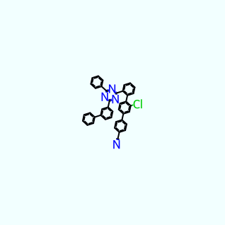 N#Cc1ccc(-c2ccc(-c3ccccc3-c3nc(-c4ccccc4)nc(-c4cccc(-c5ccccc5)c4)n3)c(Cl)c2)cc1